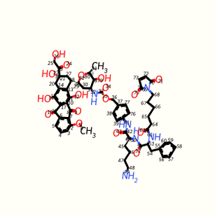 COc1cccc2c1C(=O)c1c(O)c3c(c(O)c1C2=O)C[C@@](O)(C(=O)CO)CC3[C@H]1CC(NC(=O)OCc2ccc(NC(=O)[C@H](CCCCN)NC(=O)C(Cc3ccccc3)NC(=O)CCCCCN3C(=O)C=CC3=O)cc2)C(O)[C@H](C)O1